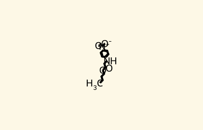 CCCCOC(=O)CNc1ccc([N+](=O)[O-])cc1